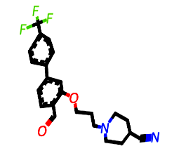 N#CC1CCN(CCCOc2cc(-c3ccc(C(F)(F)F)cc3)ccc2C=O)CC1